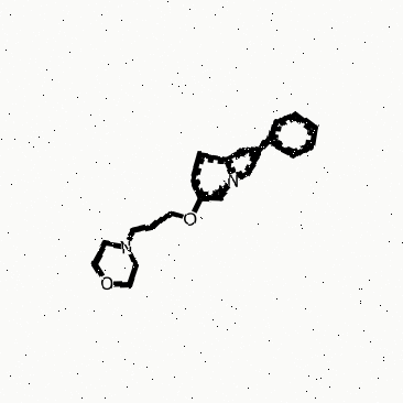 c1ccc(-c2cc3ccc(OCCCN4CCOCC4)cn3c2)cc1